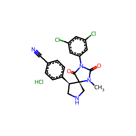 CN1C(=O)N(c2cc(Cl)cc(Cl)c2)C(=O)[C@]12CNC[C@H]2c1ccc(C#N)cc1.Cl